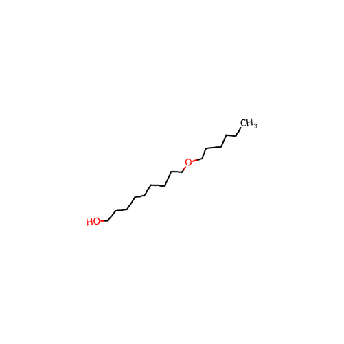 CCCCCCOCCCCCCCCCO